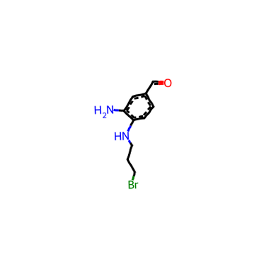 Nc1cc(C=O)ccc1NCCCBr